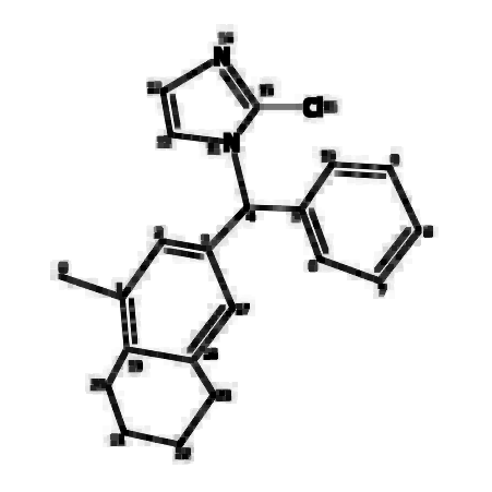 Cc1cc(C(c2ccccc2)n2ccnc2Cl)cc2c1CCCC2